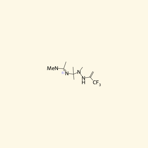 C=C(NN(C)C(C)(C)/N=C(\C)NC)C(F)(F)F